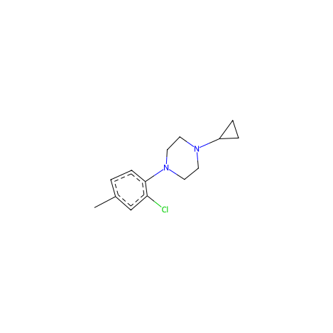 Cc1ccc(N2CCN(C3CC3)CC2)c(Cl)c1